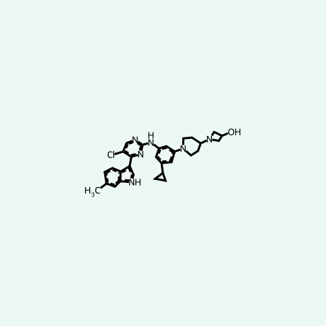 Cc1ccc2c(-c3nc(Nc4cc(C5CC5)cc(N5CCC(N6CC(O)C6)CC5)c4)ncc3Cl)c[nH]c2c1